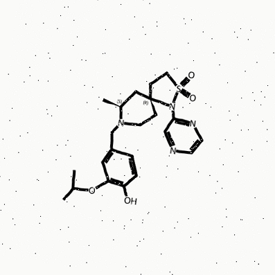 CC(C)Oc1cc(CN2CC[C@]3(CCS(=O)(=O)N3c3cnccn3)C[C@@H]2C)ccc1O